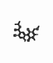 COCc1c(C)n(C)c(=O)n(-c2cc(C(=O)OC(C)C)c(Cl)cc2F)c1=O